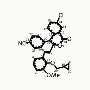 COc1cccc(C=Cc2oc(=O)c3cc(Cl)ccc3c2-c2ccc(C#N)cc2)c1OCC1CC1